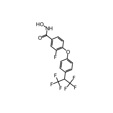 O=C(NO)c1ccc(Oc2ccc(C(C(F)(F)F)C(F)(F)F)cc2)c(F)c1